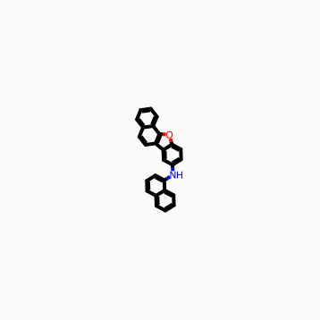 c1ccc2c(Nc3ccc4oc5c6ccccc6ccc5c4c3)cccc2c1